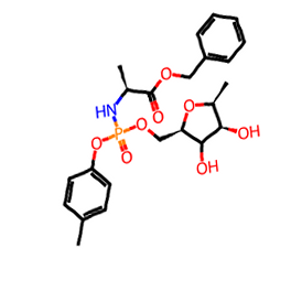 Cc1ccc(OP(=O)(N[C@@H](C)C(=O)OCc2ccccc2)OC[C@H]2O[C@@H](C)[C@@H](O)C2O)cc1